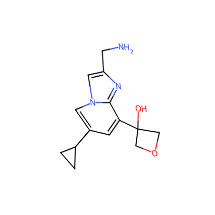 NCc1cn2cc(C3CC3)cc(C3(O)COC3)c2n1